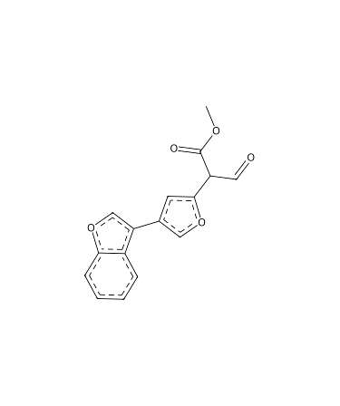 COC(=O)C(C=O)c1cc(-c2coc3ccccc23)co1